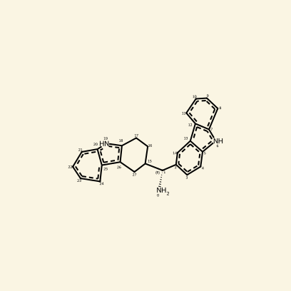 N[C@@H](c1ccc2[nH]c3ccccc3c2c1)C1CCc2[nH]c3ccccc3c2C1